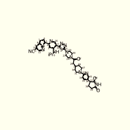 CC(C)Nc1cc(-c2ccc3cc(C#N)cnn23)ncc1-c1nnc(N2CCN(C(=O)CC3CCN(c4ccc(C5CCC(=O)NC5=O)cn4)CC3)CC2)s1